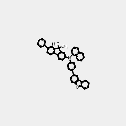 CC1(C)c2cc(-c3ccccc3)ccc2-c2ccc(N(c3ccc(-c4ccc5oc6ccccc6c5c4)cc3)c3cccc4ccccc34)cc21